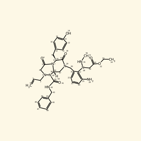 C=CCN1CC(=O)N2[C@@H](Cc3ccc(O)cc3)C(=O)N(Cc3cccc(N)c3N(CC(=O)OCC)NC)C[C@@H]2N1C(=O)NCc1ccccc1